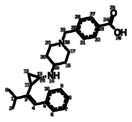 CC(C)C(=Cc1ccccc1)C1C[C@@H]1NC1CCN(Cc2ccc(C(=O)O)cc2)CC1